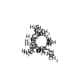 CC[Si](CC)(CC)O[C@H]1[C@@H](C)CCC[C@H]2N[C@H]2C[C@@H](C(C)=Cc2csc(C)n2)OC(=O)C[C@H](O[Si](CC)(CC)CC)C(C)(C)C(=O)[C@@H]1C